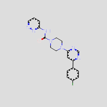 O=C(Nc1cccnn1)N1CCN(c2cc(-c3ccc(F)cc3)ncn2)CC1